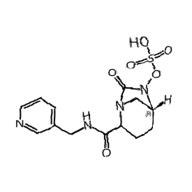 O=C(NCc1cccnc1)C1CC[C@@H]2CN1C(=O)N2OS(=O)(=O)O